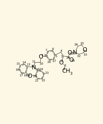 CCOC(Cc1ccc(OCCN2c3ccccc3Oc3ccccc32)cc1)C(=O)ON1CCOCC1